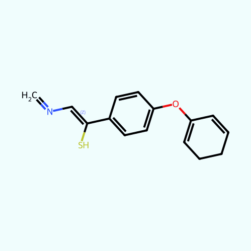 C=N/C=C(\S)c1ccc(OC2=CCCC=C2)cc1